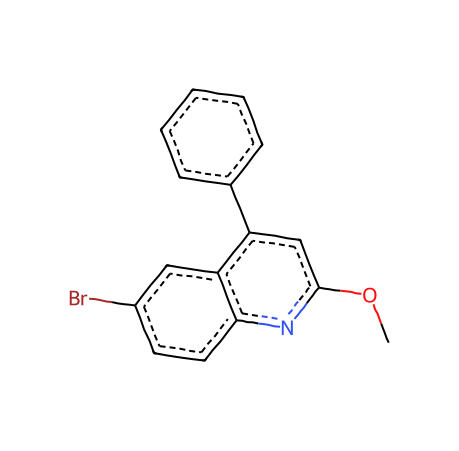 COc1cc(-c2ccccc2)c2cc(Br)ccc2n1